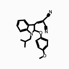 COc1ccc(OC2C(C=C(C#N)C#N)c3ccccc3N2CC(C)C)cc1